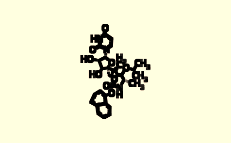 C=C[C@]1(COP(=O)(N[C@@H](C)C(=O)OC(C)C)Oc2cccc3ccccc23)O[C@@H](n2ccc(=O)[nH]c2=O)[C@H](O)[C@@H]1O